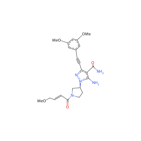 COC/C=C/C(=O)N1CC[C@H](n2nc(C#Cc3cc(OC)cc(OC)c3)c(C(N)=O)c2N)C1